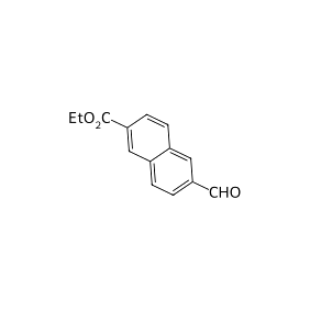 CCOC(=O)c1ccc2cc(C=O)ccc2c1